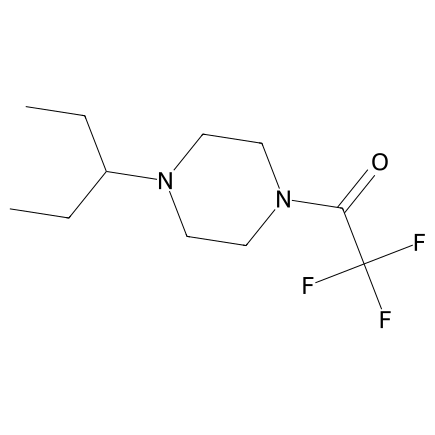 CCC(CC)N1CCN(C(=O)C(F)(F)F)CC1